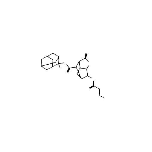 [CH2]CCC(=O)OC1C2CC3C1OC(=O)C3C2C(=O)OC1(C)C2CC3CC(C2)CC1C3